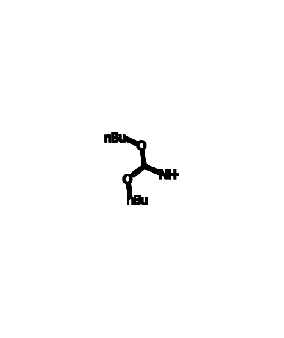 CCCCOC([NH])OCCCC